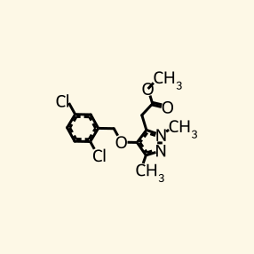 COC(=O)Cc1c(OCc2cc(Cl)ccc2Cl)c(C)nn1C